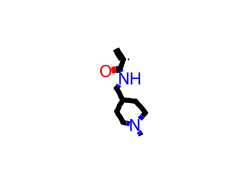 C=[C]C(=O)NCC1CCN(C)CC1